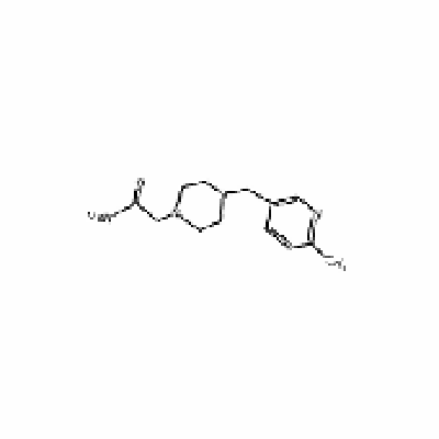 CNC(=O)CN1CCN(Cc2ccc(C)nc2)CC1